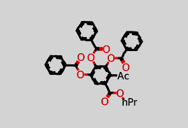 CCCOC(=O)c1cc(OC(=O)c2ccccc2)c(OC(=O)c2ccccc2)c(OC(=O)c2ccccc2)c1C(C)=O